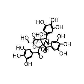 O=C(c1cc(O)c(O)c(O)c1)[C@]1(O)[C@@](O)(C(=O)c2cc(O)c(O)c(O)c2)O[C@H](CO)[C@@H](O)[C@@]1(O)C(=O)c1cc(O)c(O)c(O)c1